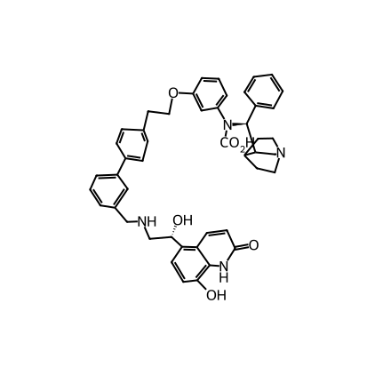 O=C(O)N(c1cccc(OCCc2ccc(-c3cccc(CNC[C@H](O)c4ccc(O)c5[nH]c(=O)ccc45)c3)cc2)c1)[C@@H](c1ccccc1)C1CN2CCC1CC2